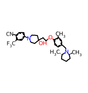 [C-]#[N+]c1ccc(N2CCC(O)(CCOc3ccc(CN4[C@@H](C)CCC[C@@H]4C)cc3C)CC2)cc1C(F)(F)F